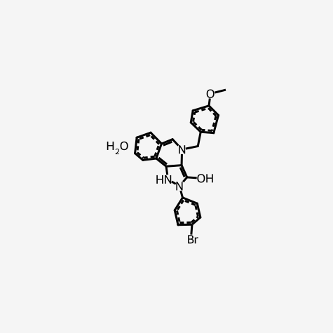 COc1ccc(CN2C=c3ccccc3=C3NN(c4ccc(Br)cc4)C(O)=C32)cc1.O